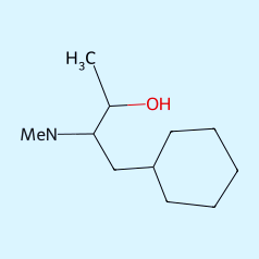 CNC(CC1CCCCC1)C(C)O